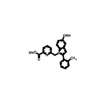 COC(=O)c1cccc(Cn2c(-c3ccccc3C)cc3cc(OC)ccc32)n1